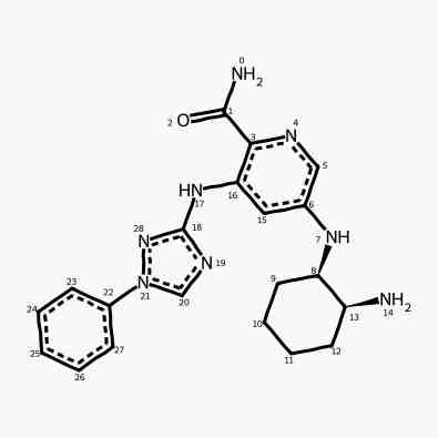 NC(=O)c1ncc(N[C@@H]2CCCC[C@@H]2N)cc1Nc1ncn(-c2ccccc2)n1